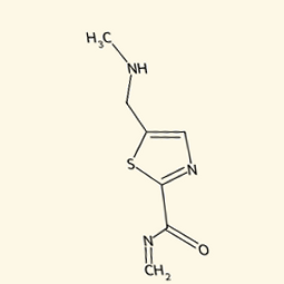 C=NC(=O)c1ncc(CNC)s1